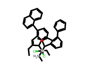 CCC1=Cc2c(-c3cccc4ccccc34)cccc2[CH]1[Zr]([Cl])([Cl])([CH2]C)([SiH2]C)[CH]1C(C)=Cc2c(-c3ccccc3)cccc21